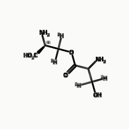 [2H]C([2H])(O)C(N)C(=O)OC([2H])([2H])[C@H](N)C(=O)O